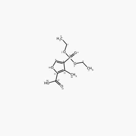 CCOP(=O)(OCC)c1coc(C(=O)O)c1C